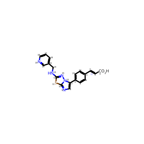 O=C(O)/C=C/c1ccc(-c2cnc3sc(NCc4cccnc4)nn23)cc1